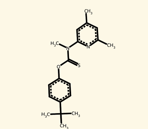 Cc1cc(C)nc(N(C)C(=S)Oc2ccc(C(C)(C)C)cc2)c1